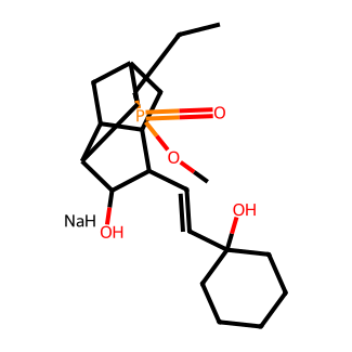 CCC1C2(C3CC4C(C=CC5(O)CCCCC5)C(O)C2C4C3)P1(=O)OC.[NaH]